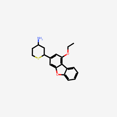 CCOc1cc(C2CC(N)CCS2)cc2oc3ccccc3c12